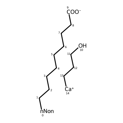 CCCCCCCCCCCCCCCCCC(=O)[O-].OCC[CH2][Ca+]